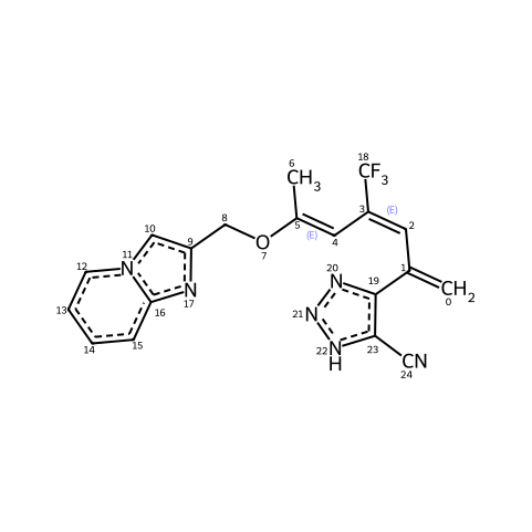 C=C(/C=C(\C=C(/C)OCc1cn2ccccc2n1)C(F)(F)F)c1nn[nH]c1C#N